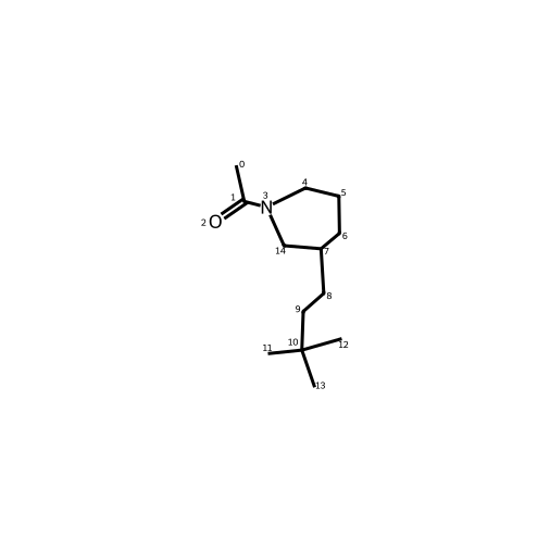 CC(=O)N1CCCC(CCC(C)(C)C)C1